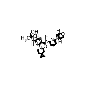 CC(C)(CO)Nc1cnc(C(=O)Nc2cccc(N3C[C@@H]4C[C@H]3CO4)n2)c(N2CCC3(CC2)CC3)n1